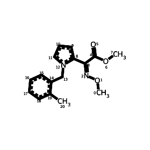 CON=C(C(=O)OC)c1cccn1Cc1ccccc1C